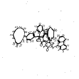 CN(C(=O)OCC1c2ccccc2-c2ccccc21)[C@@H](CC(=O)OC(c1ccccc1)(c1ccc(C2CCCCCCCCCCC2)cc1)c1ccccc1Cl)C(=O)N1CCCCC1